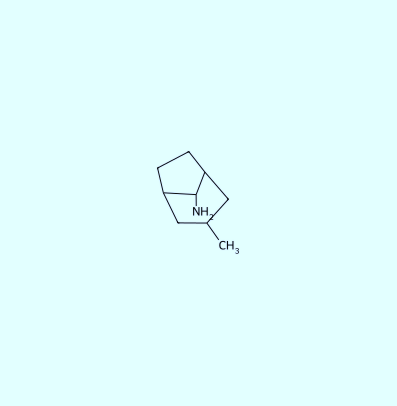 CC1CC2CCC(C1)C2N